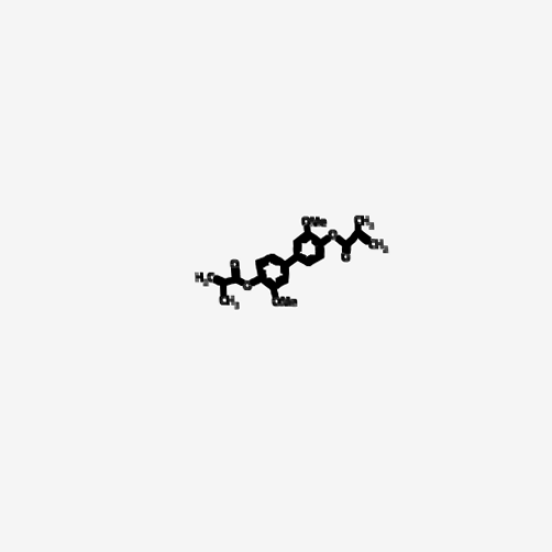 C=C(C)C(=O)Oc1ccc(-c2ccc(OC(=O)C(=C)C)c(OC)c2)cc1OC